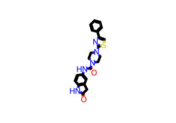 O=C1Cc2cc(NC(=O)N3CCN(c4nc(-c5ccccc5)cs4)CC3)ccc2N1